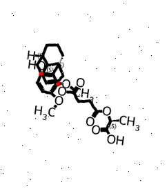 COc1ccc2c(c1OC)[C@@]13CCC[C@@H](C2)[C@@]1(O)CC=C(OC(=O)CCC(=O)O[C@@H](C)C(=O)O)C3